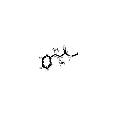 COC(=O)[C@H](O)[C@@H](N)c1ccccc1